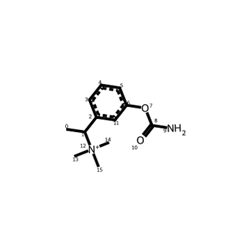 CC(c1cccc(OC(N)=O)c1)[N+](C)(C)C